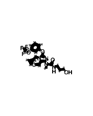 CN(C(=O)NCCCO)c1nc(Oc2cccc(OC(F)(F)F)c2)n(CC2CC2)c1C=O